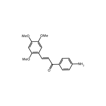 COc1cc(OC)c(OC)cc1C=CC(=O)c1ccc(N)cc1